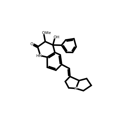 COC1C(=O)Nc2ccc(C=C3CCN4CCCC34)cc2C1(O)c1ccccc1